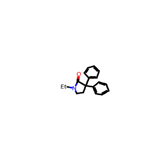 CCN1CCC(c2ccccc2)(c2ccccc2)C1=O